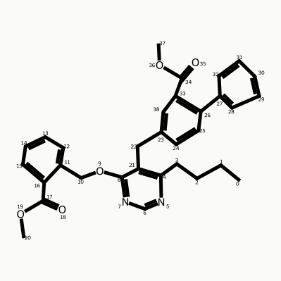 CCCCc1ncnc(OCc2ccccc2C(=O)OC)c1Cc1ccc(-c2ccccc2)c(C(=O)OC)c1